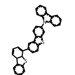 C1=CC2c3ccccc3SC2C(c2ccc3sc4cc(-n5c6ccccc6c6ccccc65)ccc4c3c2)=C1